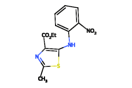 CCOC(=O)c1nc(C)sc1Nc1ccccc1[N+](=O)[O-]